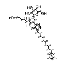 CCCCCCCCCCCCCC[C@@H](O)[C@@H](O)[C@H](COC1OC(CO)C(O)C(O)C1O)n1nnn(CCCCCCCCCCC23CCC(CC2)CC3)c1=O